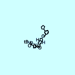 CC(C)(C)OC(=O)c1ccn(C(=O)N2C[C@H]3C[C@H](OCc4cccc(C5CCCC5)c4)C[C@H]3C2)n1